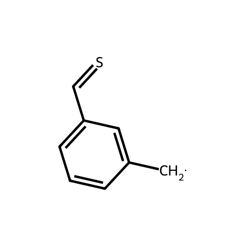 [CH2]c1cccc(C=S)c1